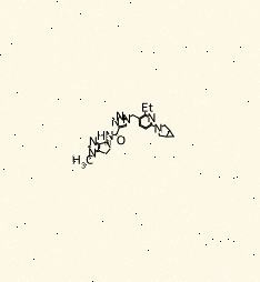 CCc1nc(N2CC3CC3C2)ccc1Cn1cc(C(=O)N[C@@H]2CCc3c2ncn3C)nn1